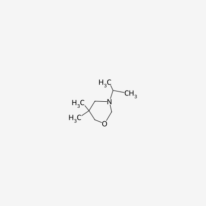 CC(C)N1COCC(C)(C)C1